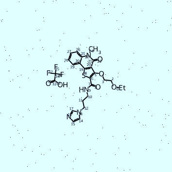 CCOCCOc1c(C(=O)NCCCn2ccnc2)sc2c1c(=O)n(C)c1ccccc21.O=C(O)C(F)(F)F